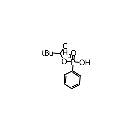 CC(OP(=O)(O)c1ccccc1)C(C)(C)C